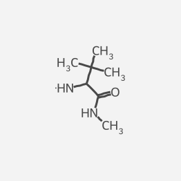 CNC(=O)C([NH])C(C)(C)C